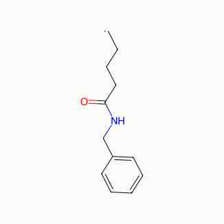 [CH2]CCCC(=O)NCc1ccccc1